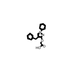 O=C(O)COc1nn(-c2ccccc2)cc1Cc1ccccc1